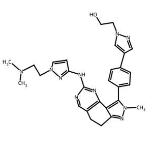 CN(C)CCn1ccc(Nc2ncc3c(n2)-c2c(nn(C)c2-c2ccc(-c4cnn(CCO)c4)cc2)CC3)n1